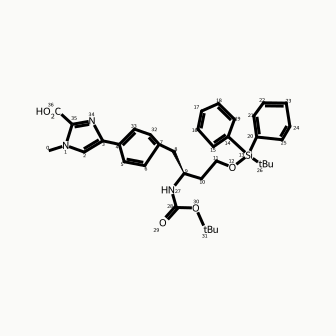 Cn1cc(-c2ccc(C[C@@H](CCO[Si](c3ccccc3)(c3ccccc3)C(C)(C)C)NC(=O)OC(C)(C)C)cc2)nc1C(=O)O